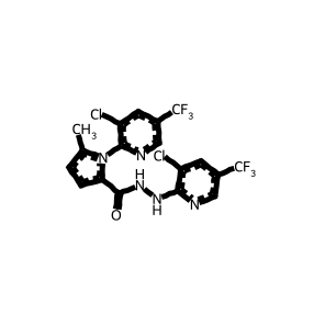 Cc1ccc(C(=O)NNc2ncc(C(F)(F)F)cc2Cl)n1-c1ncc(C(F)(F)F)cc1Cl